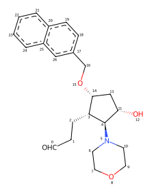 O=CCC[C@H]1[C@H](N2CCOCC2)[C@@H](O)C[C@H]1OCc1ccc2ccccc2c1